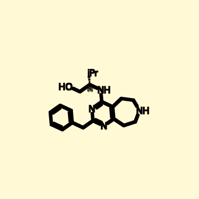 CC(C)[C@@H](CO)Nc1nc(Cc2ccccc2)nc2c1CCNCC2